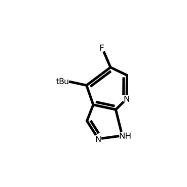 CC(C)(C)c1c(F)cnc2[nH]ncc12